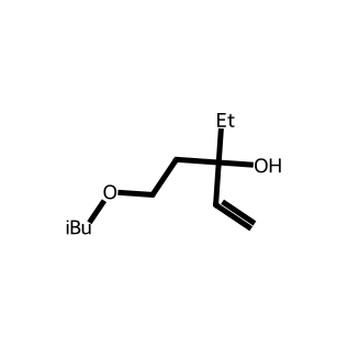 C=CC(O)(CC)CCOC(C)CC